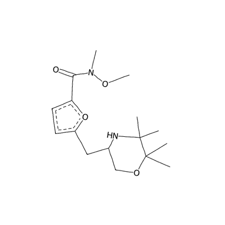 CON(C)C(=O)c1ccc(CC2COC(C)(C)C(C)(C)N2)o1